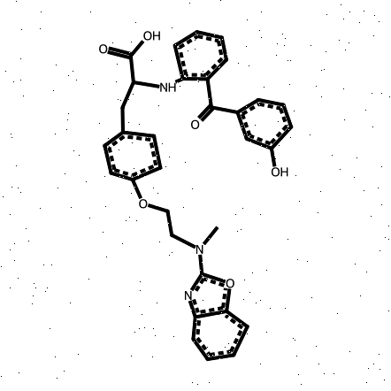 CN(CCOc1ccc(CC(Nc2ccccc2C(=O)c2cccc(O)c2)C(=O)O)cc1)c1nc2ccccc2o1